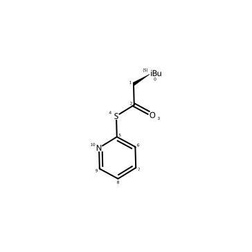 CC[C@H](C)CC(=O)Sc1ccccn1